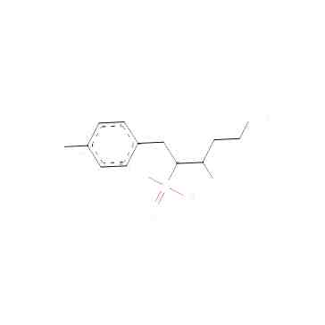 O=C(O)CCC(C(=O)O)C(Cc1ccc(I)cc1)P(=O)(O)O